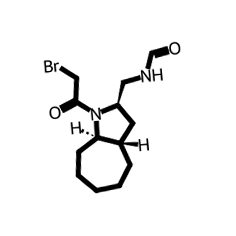 O=CNC[C@H]1C[C@@H]2CCCCC[C@H]2N1C(=O)CBr